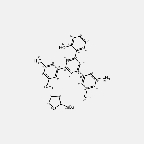 CCCCC1CCCO1.Cc1cc(C)cc(-c2nc(-c3cc(C)cc(C)c3)nc(-c3ccccc3O)n2)c1